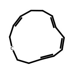 C1=C\C=C\CCCC/C=C\CC/C=C/1